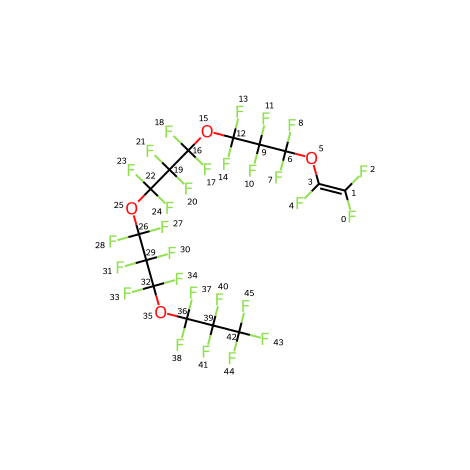 FC(F)=C(F)OC(F)(F)C(F)(F)C(F)(F)OC(F)(F)C(F)(F)C(F)(F)OC(F)(F)C(F)(F)C(F)(F)OC(F)(F)C(F)(F)C(F)(F)F